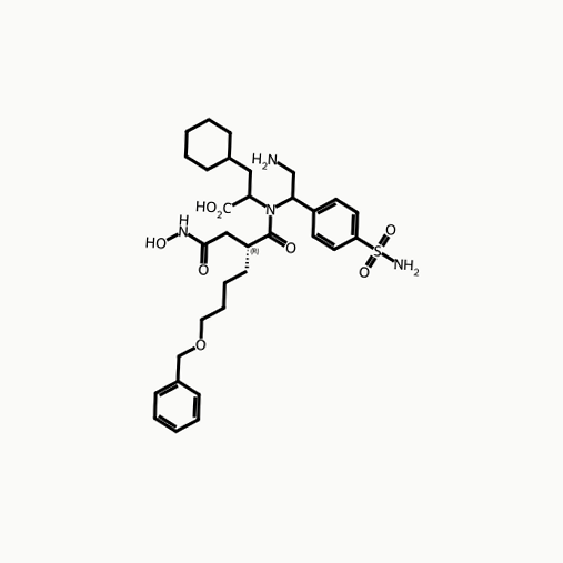 NCC(c1ccc(S(N)(=O)=O)cc1)N(C(=O)[C@H](CCCCOCc1ccccc1)CC(=O)NO)C(CC1CCCCC1)C(=O)O